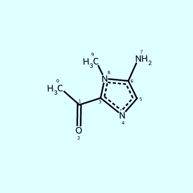 CC(=O)c1ncc(N)n1C